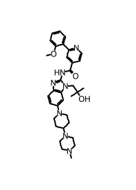 COc1ccccc1-c1cc(C(=O)Nc2nc3ccc(N4CCC(N5CCN(C)CC5)CC4)cc3n2CC(C)(C)O)ccn1